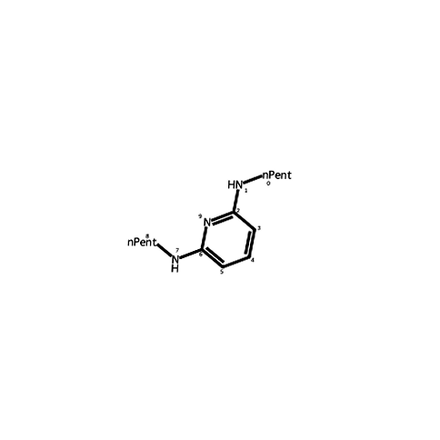 CCCCCNc1cccc(NCCCCC)n1